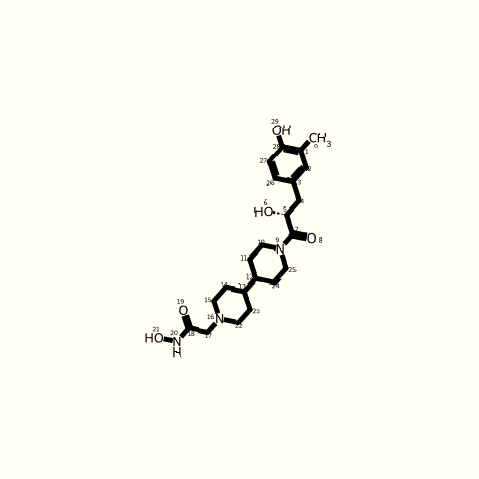 Cc1cc(C[C@@H](O)C(=O)N2CCC(C3CCN(CC(=O)NO)CC3)CC2)ccc1O